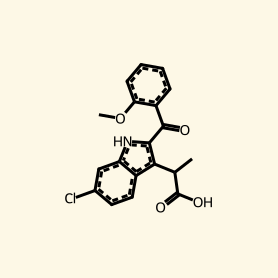 COc1ccccc1C(=O)c1[nH]c2cc(Cl)ccc2c1C(C)C(=O)O